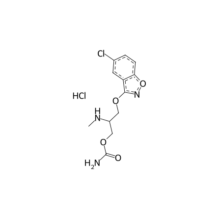 CNC(COC(N)=O)COc1noc2ccc(Cl)cc12.Cl